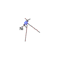 CCCCCCCCCCCCCCCCCCCCC/C=C/C(=N\c1ccc(CCCC)c(CCCC)c1)C(/C#CCCCCCCCCCCCCCCCCCCCCCCC)=N/c1ccc(CCCC)c(CCCC)c1.[Ni]